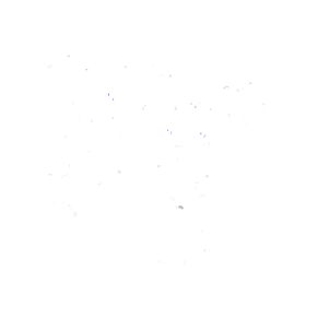 c1ccc(-c2nc(-c3cccc(-n4c5ccccc5c5cc6c(cc54)sc4ccccc46)c3)nc(-c3ccc4c(c3)sc3ccccc34)n2)cc1